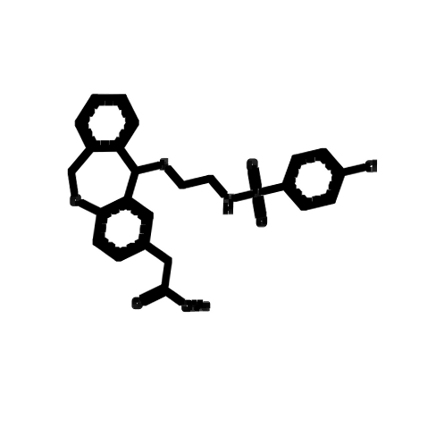 COC(=O)Cc1ccc2c(c1)C(SCCNS(=O)(=O)c1ccc(Cl)cc1)c1ccccc1CO2